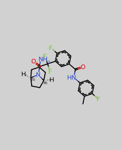 Cc1cc(NC(=O)c2ccc(F)c(C(F)(F)C(=O)N3[C@@H]4CC[C@H]3CC(N)C4)c2)ccc1F